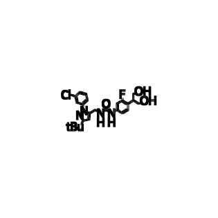 CC(C)(C)c1cc(CNC(=O)Nc2ccc(C(CO)CO)c(F)c2)n(-c2cccc(Cl)c2)n1